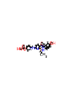 CCCSc1nc(NCC2CCC(OC(=O)O)CC2)ccc1C(=O)N[C@H]1C2CC3CC1C[C@@](O)(C3)C2